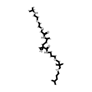 CC(C)CCCOCC(C)(C)COCCCNC(=O)C1(CCC(C)NC(=O)COCCOCCNC(C)C)CS1